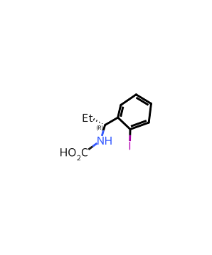 CC[C@@H](NC(=O)O)c1ccccc1I